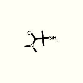 CN(C)C(Cl)C(C)(C)[SiH3]